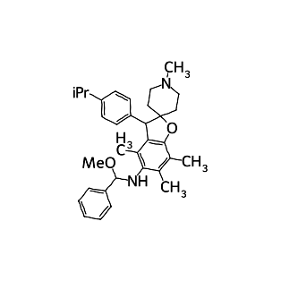 COC(Nc1c(C)c(C)c2c(c1C)C(c1ccc(C(C)C)cc1)C1(CCN(C)CC1)O2)c1ccccc1